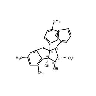 COc1ccc([C@@]23Oc4cc(C)cc(C)c4[C@]2(O)[C@H](O)[C@@H](C(=O)O)[C@@H]3c2ccccc2)cc1